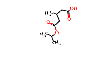 CC(CC(=O)O)CC(=O)OC(C)C